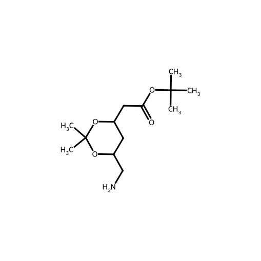 CC(C)(C)OC(=O)CC1CC(CN)OC(C)(C)O1